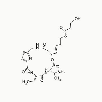 C/C=C1\NC(=O)c2csc(n2)CNC(=O)C[C@@H](/C=C/CCSC(=O)CCO)OC(=O)[C@H](C(C)C)NC1=O